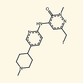 CN1CCC(c2ccc(Nc3cc(CI)nn(C)c3=O)nc2)CC1